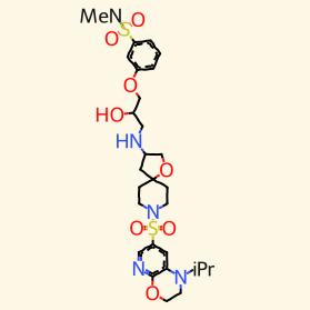 CNS(=O)(=O)c1cccc(OCC(O)CNC2COC3(CCN(S(=O)(=O)c4cnc5c(c4)N(C(C)C)CCO5)CC3)C2)c1